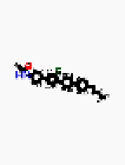 C=CC(=O)NC1CCC(c2ccc(C3CCC(C4CCC(CCCCC)CC4)CC3)c(F)c2)CC1